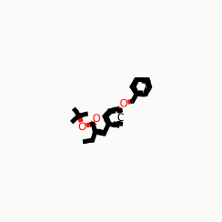 CCC(=Cc1ccc(OCc2ccccc2)cc1)C(=O)OC(C)(C)C